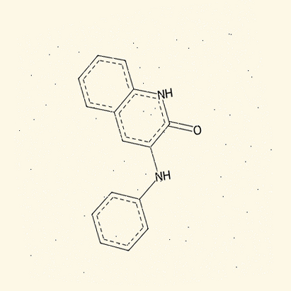 O=c1[nH]c2ccccc2cc1Nc1ccccc1